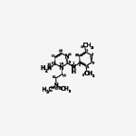 Cc1ccc(C)c(NC2=NC=CC(N)N2CCN(C)C)c1